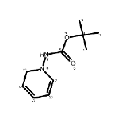 CC(C)(C)OC(=O)NN1C=CC=CC1